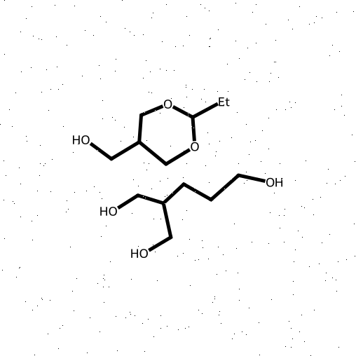 CCC1OCC(CO)CO1.OCCCC(CO)CO